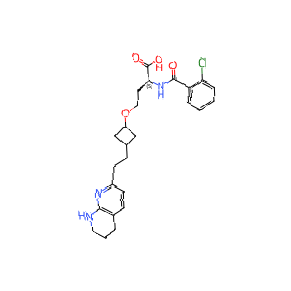 O=C(N[C@@H](CCOC1CC(CCc2ccc3c(n2)NCCC3)C1)C(=O)O)c1ccccc1Cl